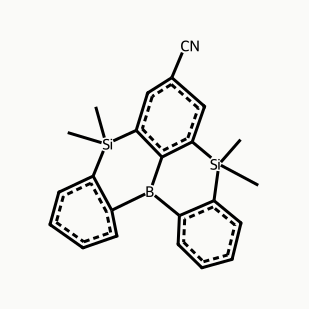 C[Si]1(C)c2ccccc2B2c3ccccc3[Si](C)(C)c3cc(C#N)cc1c32